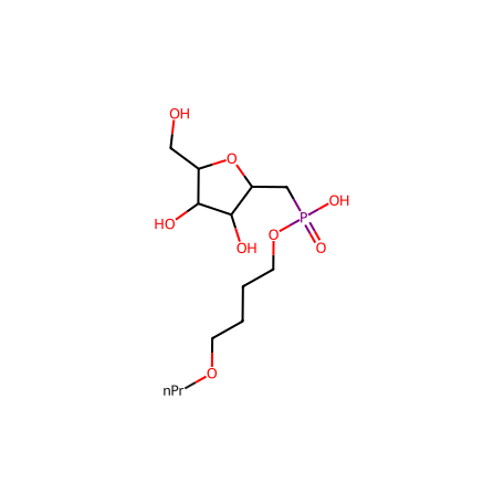 CCCOCCCCOP(=O)(O)CC1OC(CO)C(O)C1O